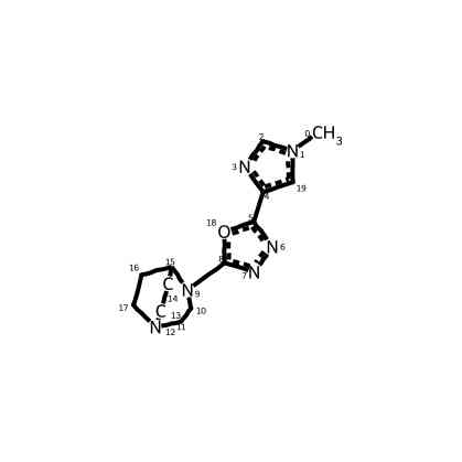 Cn1cnc(-c2nnc(N3CCN4CCC3CC4)o2)c1